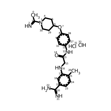 CC(=N)N1CCC(Oc2ccc(NC(=O)CNc3cc(C(=N)N)ccc3C)cc2)CC1.Cl.Cl